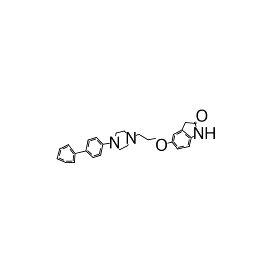 O=C1Cc2cc(OCCCN3CCN(c4ccc(-c5ccccc5)cc4)CC3)ccc2N1